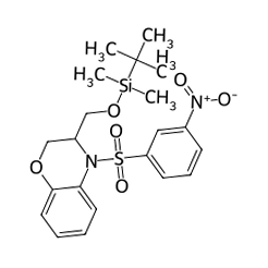 CC(C)(C)[Si](C)(C)OCC1COc2ccccc2N1S(=O)(=O)c1cccc([N+](=O)[O-])c1